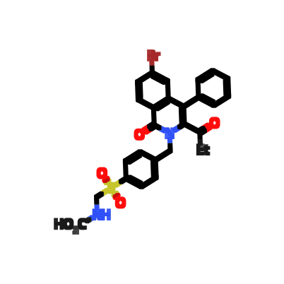 CCC(=O)c1c(-c2ccccc2)c2cc(Br)ccc2c(=O)n1Cc1ccc(S(=O)(=O)CNC(=O)O)cc1